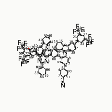 N#Cc1ccc(-c2ccc(-n3c4ccccc4c4cc(-c5cc(C(F)(F)F)cc(C(F)(F)F)c5)ccc43)c(-c3ccc(-n4c5ccccc5c5cc(-c6cc(C(F)(F)F)cc(C(F)(F)F)c6)ccc54)c(-c4nc(-c5ccccc5)nc(-c5ccccc5)n4)c3)c2)cc1